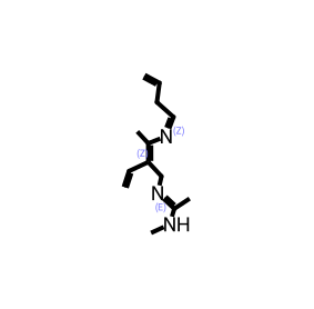 C=CC/C=N\C(C)=C(\C=C)C/N=C(\C)NC